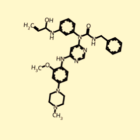 C=CC(O)Nc1cccc(N(C(=O)NCc2ccccc2)c2cc(Nc3ccc(N4CCN(C)CC4)cc3OC)ncn2)c1